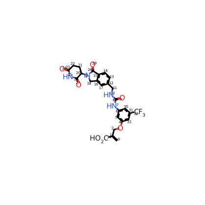 C=C(COc1cc(NC(=O)NCc2ccc3c(c2)CN(C2CCC(=O)NC2=O)C3=O)cc(C(F)(F)F)c1)C(=O)O